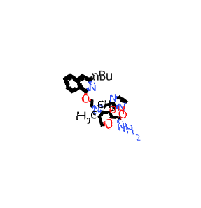 CCCCc1cc2ccccc2c(OCC[N+](C)(C)[C@@]2(Cc3cnccn3)CCOC(C(N)=O)[C@@H]2O)n1